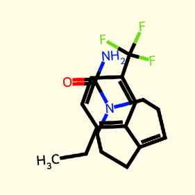 CCc1ccc(C(F)(F)F)cc1/C1=C\CCN(C(N)=O)CCC1